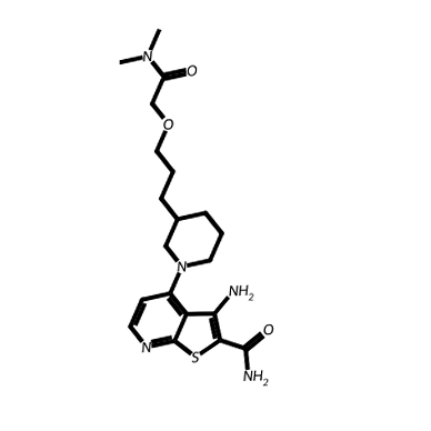 CN(C)C(=O)COCCCC1CCCN(c2ccnc3sc(C(N)=O)c(N)c23)C1